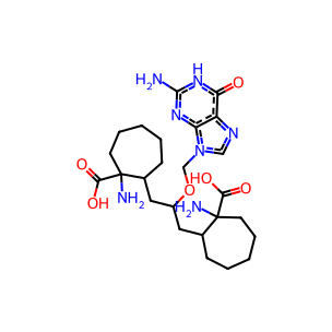 Nc1nc2c(ncn2COC(CC2CCCCCC2(N)C(=O)O)CC2CCCCCC2(N)C(=O)O)c(=O)[nH]1